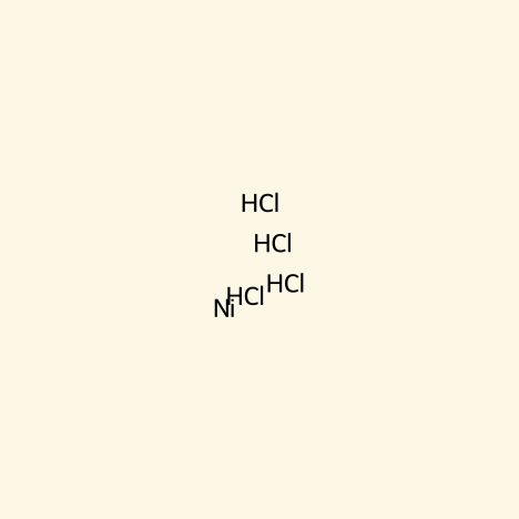 Cl.Cl.Cl.Cl.[Ni]